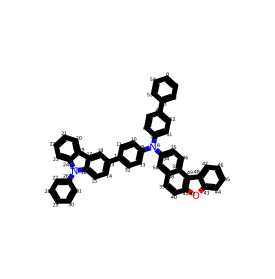 c1ccc(-c2ccc(N(c3ccc(-c4ccc5c(c4)c4ccccc4n5-c4ccccc4)cc3)c3ccc4c(ccc5oc6ccccc6c54)c3)cc2)cc1